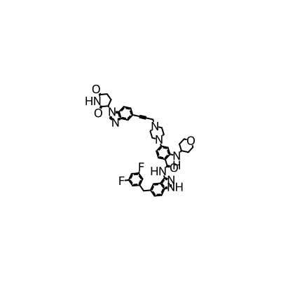 O=C1CCC(n2cnc3cc(C#CCN4CCN(c5ccc(C(=O)Nc6n[nH]c7ccc(Cc8cc(F)cc(F)c8)cc67)c(NC6CCOCC6)c5)CC4)ccc32)C(=O)N1